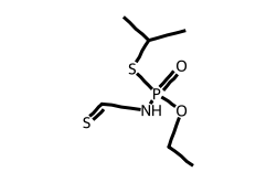 CCOP(=O)(NC=S)SC(C)C